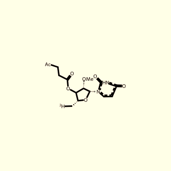 [2H]C[C@H]1O[C@@H](n2ccc(=O)[nH]c2=O)[C@@H](OC)C1OC(=O)CCC(C)=O